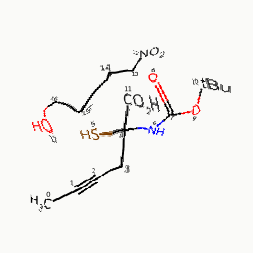 CC#CCC(S)(NC(=O)OC(C)(C)C)C(=O)O.O=[N+]([O-])CCCCO